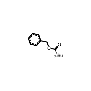 CC[C@H](C)C(=O)OCc1ccccc1